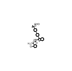 C[C@@H](OC(=O)Nc1sc2ccccc2c1-c1ccc(-c2ccc(C3(OC=O)CC3)cc2)cc1)c1ccccc1Cl